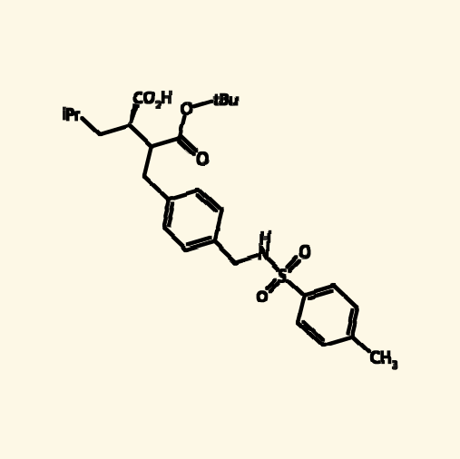 Cc1ccc(S(=O)(=O)NCc2ccc(CC(C(=O)OC(C)(C)C)[C@@H](CC(C)C)C(=O)O)cc2)cc1